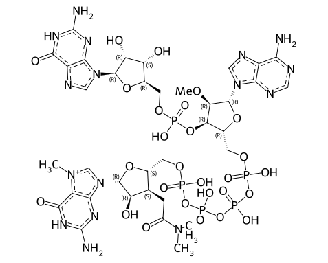 CO[C@@H]1[C@H](OP(=O)(O)OC[C@H]2O[C@@H](n3cnc4c(=O)[nH]c(N)nc43)[C@H](O)[C@@H]2O)[C@@H](COP(=O)(O)OP(=O)(O)OP(=O)(O)OP(=O)(O)OC[C@H]2O[C@@H](n3c[n+](C)c4c(=O)[nH]c(N)nc43)[C@H](O)[C@@H]2CC(=O)N(C)C)O[C@H]1n1cnc2c(N)ncnc21